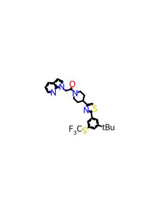 CC(C)(C)c1cc(SC(F)(F)F)cc(-c2nc(C3CCN(C(=O)Cn4ccc5cccnc54)CC3)cs2)c1